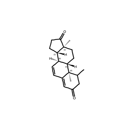 CC1CC(=O)C=C2C=C[C@H]3[C@@H]4CCC(=O)[C@@]4(C)CC[C@@H]3[C@]21C